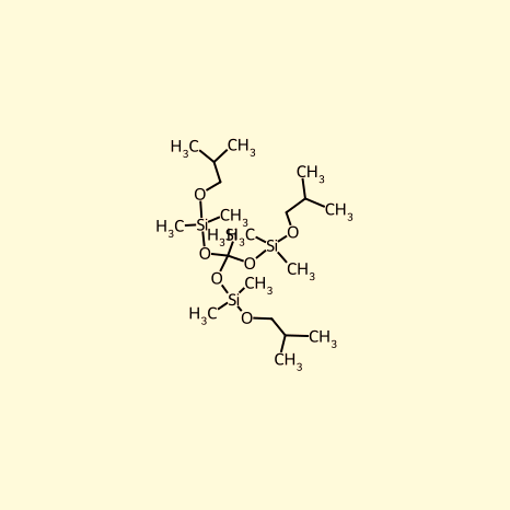 CC(C)CO[Si](C)(C)OC([SiH3])(O[Si](C)(C)OCC(C)C)O[Si](C)(C)OCC(C)C